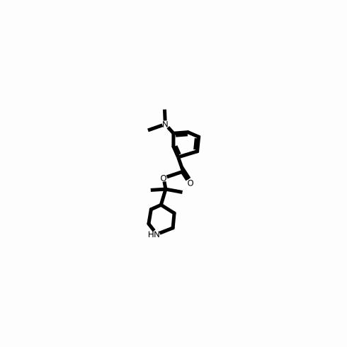 CN(C)c1cccc(C(=O)OC(C)(C)C2CCNCC2)c1